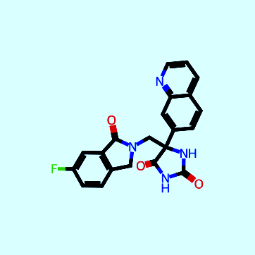 O=C1NC(=O)C(CN2Cc3ccc(F)cc3C2=O)(c2ccc3cccnc3c2)N1